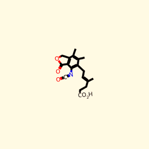 C/C(=C\Cc1c(C)c(C)c2c(c1N=C=O)C(=O)OC2)CCC(=O)O